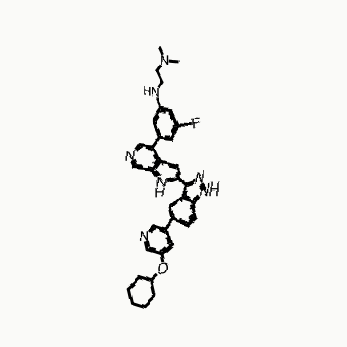 CN(C)CCNc1cc(F)cc(-c2cncc3[nH]c(-c4n[nH]c5ccc(-c6cncc(OC7CCCCC7)c6)cc45)cc23)c1